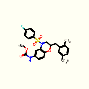 Cc1ccc(S(=O)(=O)O)cc1CC1CN(S(=O)(=O)c2ccc(F)cc2)c2cc(NC(=O)OC(C)(C)C)ccc2O1